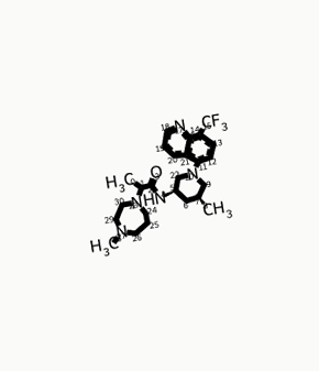 CC(C(=O)N[C@@H]1C[C@H](C)CN(c2ccc(C(F)(F)F)c3ncccc23)C1)N1CCCN(C)CC1